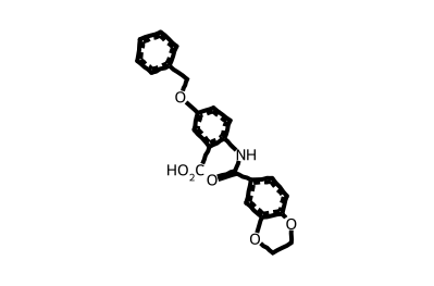 O=C(Nc1ccc(OCc2ccccc2)cc1C(=O)O)c1ccc2c(c1)OCCO2